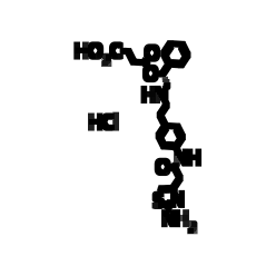 Cl.Nc1nc(CC(=O)Nc2ccc(CCNC[C@H](OC(=O)CCC(=O)O)c3ccccc3)cc2)cs1